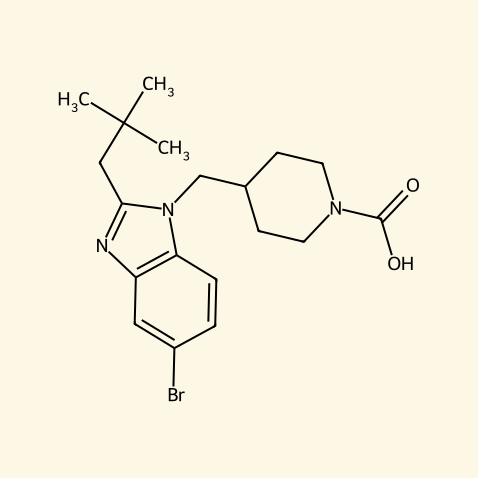 CC(C)(C)Cc1nc2cc(Br)ccc2n1CC1CCN(C(=O)O)CC1